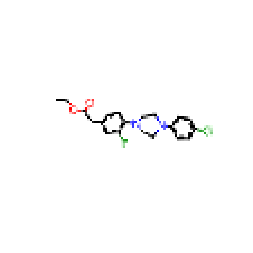 CCOC(=O)Cc1ccc(N2CCN(c3ccc(Cl)cc3)CC2)c(F)c1